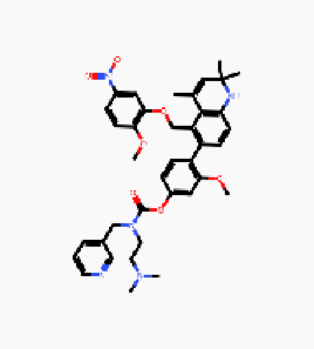 COc1ccc([N+](=O)[O-])cc1OCc1c(-c2ccc(OC(=O)N(CCN(C)C)Cc3cccnc3)cc2OC)ccc2c1C(C)=CC(C)(C)N2